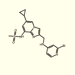 CS(=O)(=O)Nc1cc(C2CC2)cn2cc(CNc3ccnc(Br)c3)nc12